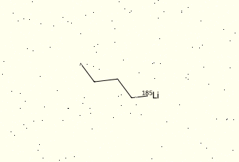 [185Li][CH2]CCC